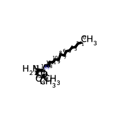 CCCCCCCCCCCCC/C=C/[C@H]1OC(C)(C)OC[C@@H]1N